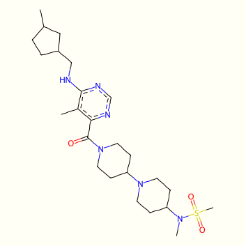 Cc1c(NCC2CCC(C)C2)ncnc1C(=O)N1CCC(N2CCC(N(C)S(C)(=O)=O)CC2)CC1